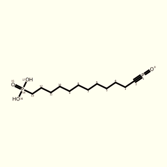 O=P#CCCCCCCCCCCCP(=O)(O)O